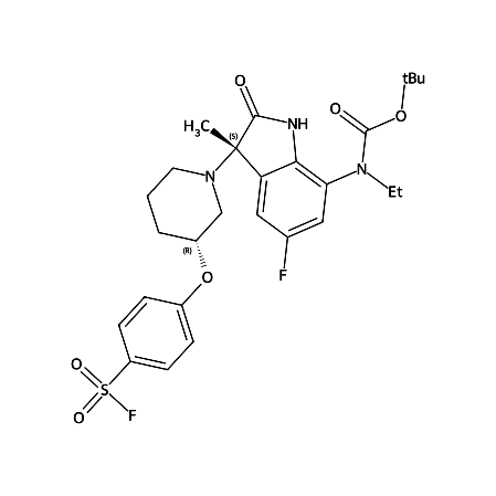 CCN(C(=O)OC(C)(C)C)c1cc(F)cc2c1NC(=O)[C@@]2(C)N1CCC[C@@H](Oc2ccc(S(=O)(=O)F)cc2)C1